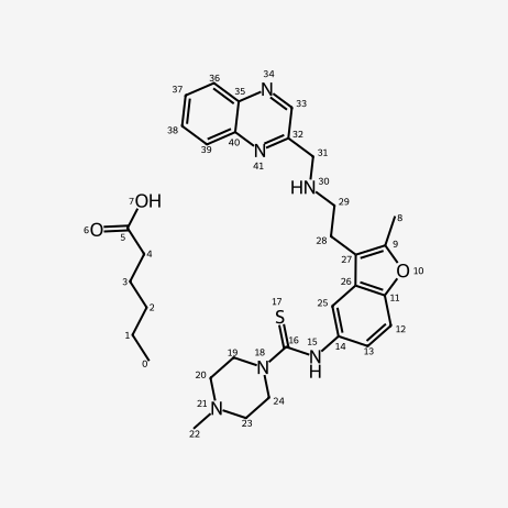 CCCCCC(=O)O.Cc1oc2ccc(NC(=S)N3CCN(C)CC3)cc2c1CCNCc1cnc2ccccc2n1